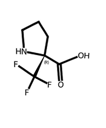 O=C(O)[C@@]1(C(F)(F)F)CCCN1